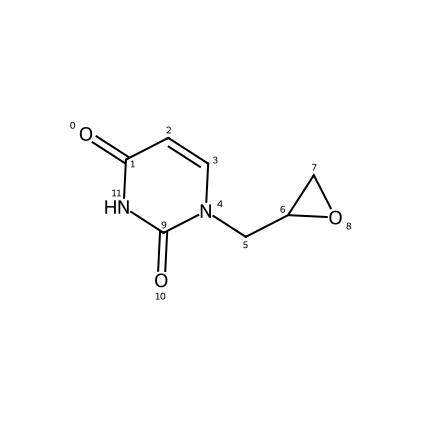 O=c1ccn(CC2CO2)c(=O)[nH]1